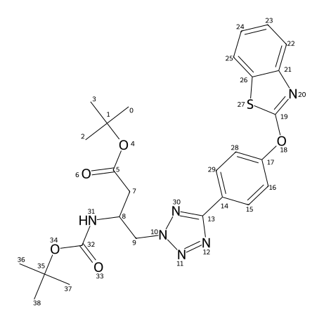 CC(C)(C)OC(=O)CC(Cn1nnc(-c2ccc(Oc3nc4ccccc4s3)cc2)n1)NC(=O)OC(C)(C)C